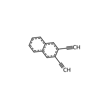 C#Cc1cc2ccccc2cc1C#C